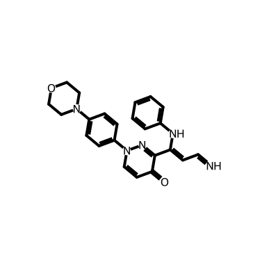 N=C/C=C(\Nc1ccccc1)c1nn(-c2ccc(N3CCOCC3)cc2)ccc1=O